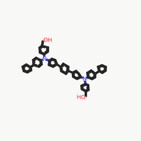 OCc1ccc(N(c2ccc(-c3ccccc3)cc2)c2ccc(-c3ccc(-c4ccc(N(c5ccc(CO)cc5)c5ccc(-c6ccccc6)cc5)cc4)cc3)cc2)cc1